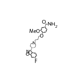 COc1cc(C(N)=O)ccc1OCCCN1CCC(c2noc3cc(F)ccc23)CC1